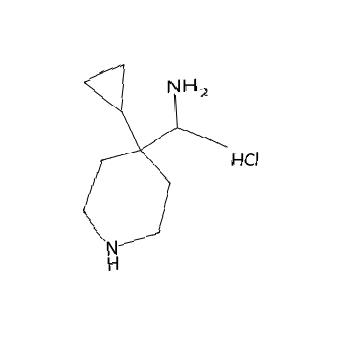 CC(N)C1(C2CC2)CCNCC1.Cl